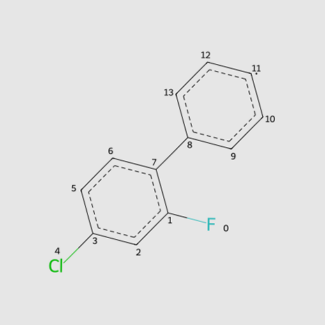 Fc1cc(Cl)ccc1-c1cc[c]cc1